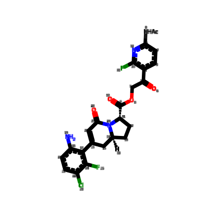 CC(=O)Nc1ccc(C(=O)COC(=O)[C@@H]2CC[C@H]3CC(c4c(N)ccc(Cl)c4F)=CC(=O)N32)c(F)n1